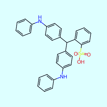 O=S(=O)(O)c1ccccc1C(c1ccc(Nc2ccccc2)cc1)c1ccc(Nc2ccccc2)cc1